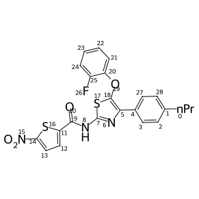 CCCc1ccc(-c2nc(NC(=O)c3ccc([N+](=O)[O-])s3)sc2Oc2ccccc2F)cc1